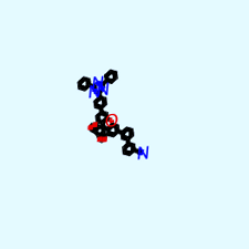 N#Cc1cccc(-c2cccc(-c3ccc4c(c3)Oc3cc(-c5ccc(-c6nc(-c7ccccc7)nc(-c7ccccc7)n6)cc5)ccc3C43c4ccccc4-c4ccccc43)c2)c1